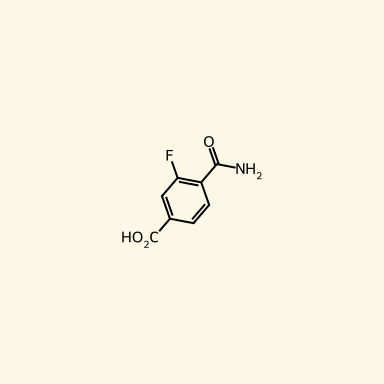 NC(=O)c1ccc(C(=O)O)cc1F